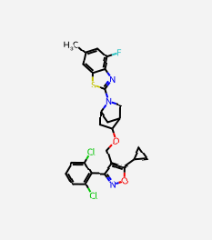 Cc1cc(F)c2nc(N3CC4CC3CC4OCc3c(-c4c(Cl)cccc4Cl)noc3C3CC3)sc2c1